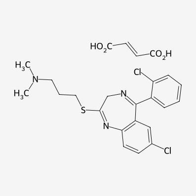 CN(C)CCCSC1=Nc2ccc(Cl)cc2C(c2ccccc2Cl)=NC1.O=C(O)C=CC(=O)O